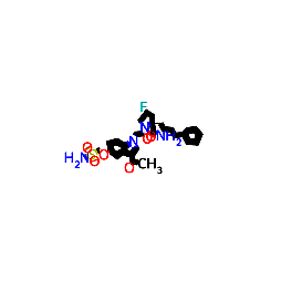 CC(=O)c1cn(CC(=O)N2C[C@H](F)C[C@@]2(CCCCc2ccccc2)C(N)=O)c2ccc(OCS(N)(=O)=O)cc12